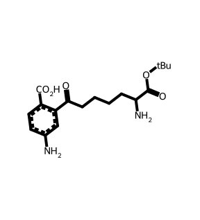 CC(C)(C)OC(=O)C(N)CCCCC(=O)c1cc(N)ccc1C(=O)O